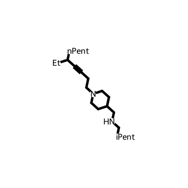 CCCCCC(C#CCCN1CCC(CNCC(C)CCC)CC1)CC